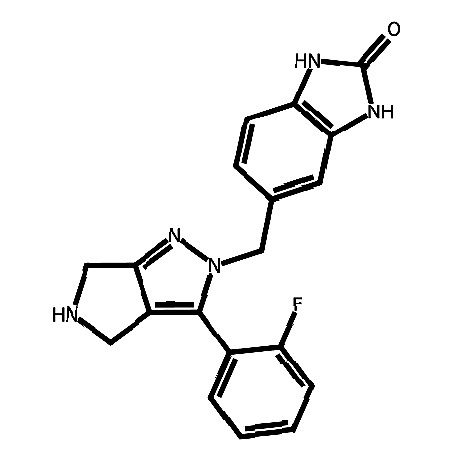 O=c1[nH]c2ccc(Cn3nc4c(c3-c3ccccc3F)CNC4)cc2[nH]1